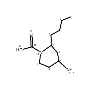 CCCCC1CC(N)CCN1C(=O)O